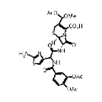 COC(OC(C)=O)C1=C(C(=O)O)N2C(=O)[C@H](NC(=O)C(NC(=O)c3ccc(OC(C)=O)c(OC(C)=O)c3)c3csc(N)n3)[C@H]2SC1